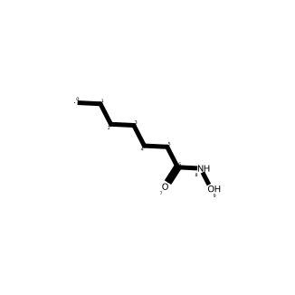 [CH2]CCCCCC(=O)NO